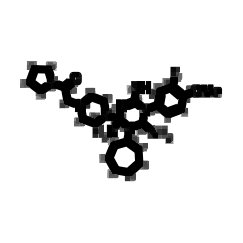 COc1ccc(N2C(N)=NC(N)(N3CCN(CC(=O)N4CCCC4)CC3)N(C3CCCCCC3)C2N)cc1F